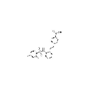 Cc1ccc(S(=O)(=O)Nc2ccccc2CCc2ccc(C(=O)O)cc2)c(C)c1